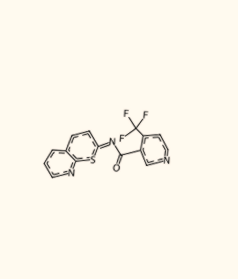 O=C(N=c1ccc2cccnc2s1)c1cnccc1C(F)(F)F